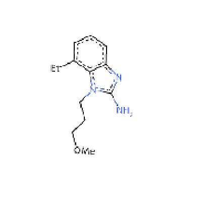 CCc1cccc2nc(N)n(CCCOC)c12